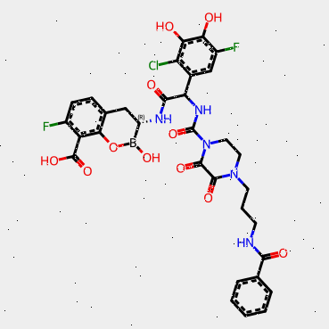 O=C(NCCCN1CCN(C(=O)NC(C(=O)N[C@H]2Cc3ccc(F)c(C(=O)O)c3OB2O)c2cc(F)c(O)c(O)c2Cl)C(=O)C1=O)c1ccccc1